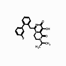 CC(C)N1CCn2c(Cc3ccccc3-c3cccc(F)c3)nc(=O)c(O)c2C1=O